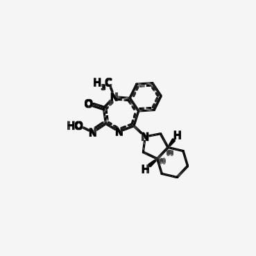 Cn1c(=O)c(=NO)nc(N2C[C@H]3CCCC[C@H]3C2)c2ccccc21